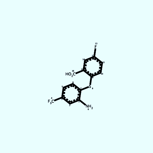 Nc1cc(C(F)(F)F)ccc1Sc1ccc(F)cc1C(=O)O